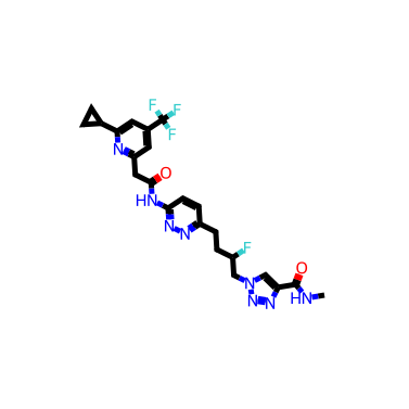 CNC(=O)c1cn(CC(F)CCc2ccc(NC(=O)Cc3cc(C(F)(F)F)cc(C4CC4)n3)nn2)nn1